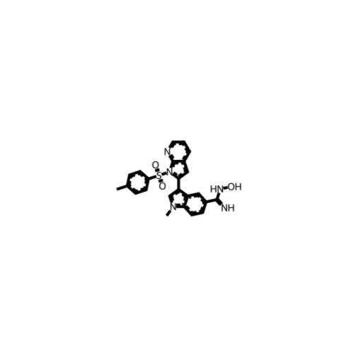 Cc1ccc(S(=O)(=O)n2c(-c3cn(C)c4ccc(C(=N)NO)cc34)cc3cccnc32)cc1